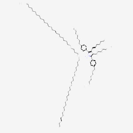 CCCCCC=CC1=C(c2ccc(CCCCCCCC)cc2)[N+](=[N-])C(c2ccc(CCCCCCCC)cc2)=C1CCCCCC.CCCCCCCCCCCCCCCCCCCCCCCCCCC[CH2][Ni][CH2]CCCCCCCCCCCCCCCCCCCCCCCCCCC